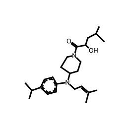 CC(C)=CCN(c1ccc(C(C)C)cc1)C1CCN(C(=O)C(O)CC(C)C)CC1